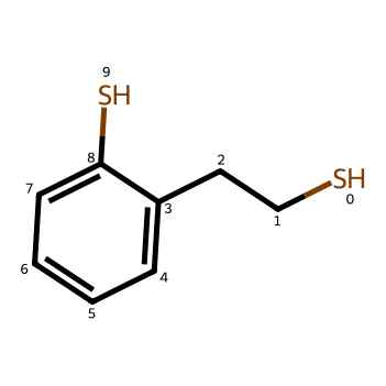 SCCc1ccccc1S